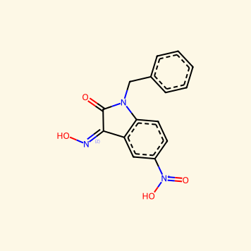 O=C1/C(=N\O)c2cc([N+](=O)O)ccc2N1Cc1ccccc1